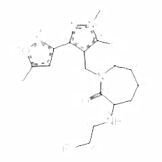 Cc1cc(-c2nn(C)c(Cl)c2CN2CCCCC(NCCC(C)C)C2=O)no1